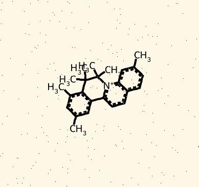 Cc1cc(C)c2c(c1)-c1ccc3ccc(C)cc3[n+]1C(C)(C)C2(C)C